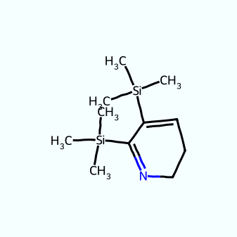 C[Si](C)(C)C1=CCCN=C1[Si](C)(C)C